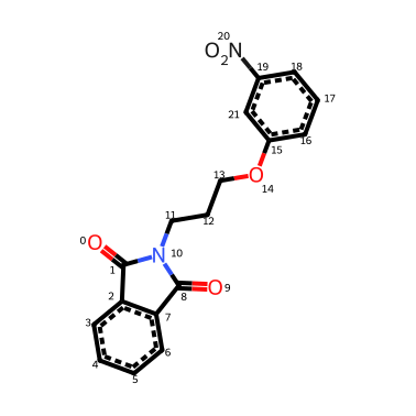 O=C1c2ccccc2C(=O)N1CCCOc1cccc([N+](=O)[O-])c1